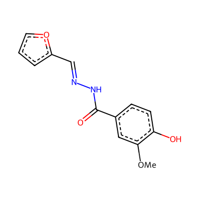 COc1cc(C(=O)NN=Cc2ccco2)ccc1O